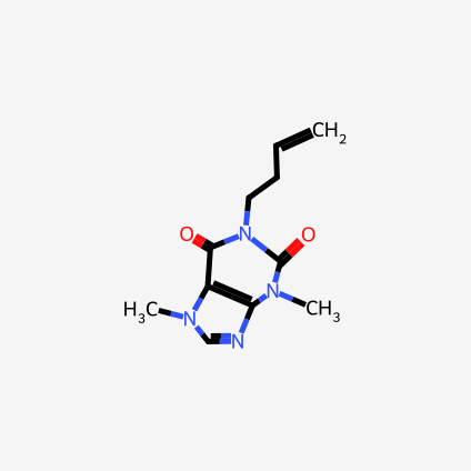 C=CCCn1c(=O)c2c(ncn2C)n(C)c1=O